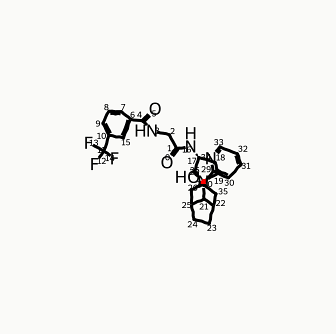 O=C(CNC(=O)c1cccc(C(F)(F)F)c1)N[C@@H]1CCN(C2C3CCC2CC(O)(c2ccccn2)C3)C1